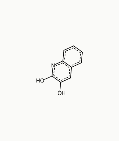 Oc1cc2ccccc2nc1O